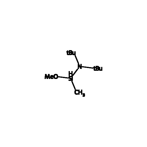 CO[SiH](C)N(C(C)(C)C)C(C)(C)C